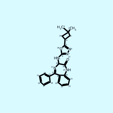 CC1(C)CC(c2nnc(NC3N=C(c4ccccc4)c4ccccc4NC3=O)o2)C1